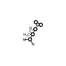 Cc1c(-c2ccc(-n3c4ccccc4c4ccccc43)cc2)ccc(-c2cc(C#N)cc(C#N)c2)c1C